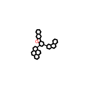 c1ccc2cc3c(cc2c1)oc1c(-c2ccc4ccc5cccc6ccc2c4c56)cc(-c2ccc4ccc5ccccc5c4c2)cc13